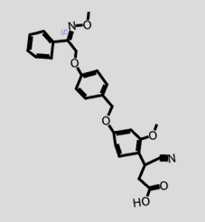 CO/N=C(\COc1ccc(COc2ccc(C(C#N)CC(=O)O)c(OC)c2)cc1)c1ccccc1